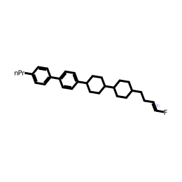 CCCc1ccc(-c2ccc(C3CCC(C4CCC(CC/C=C/F)CC4)CC3)cc2)cc1